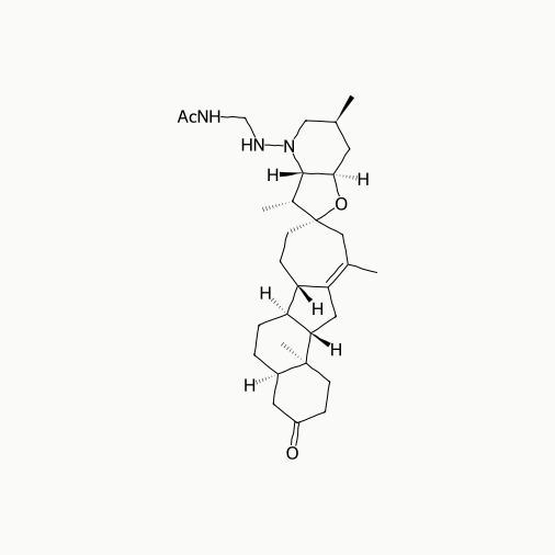 CC(=O)NCNN1C[C@@H](C)C[C@H]2O[C@]3(CC[C@@H]4C(=C(C)C3)C[C@H]3[C@H]4CC[C@@H]4CC(=O)CC[C@@]43C)[C@H](C)[C@@H]21